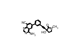 CN1CC[C@](O)(C#Cc2cccc(-c3cc(C#N)c4ncnc(N)c4c3)c2)C1=O